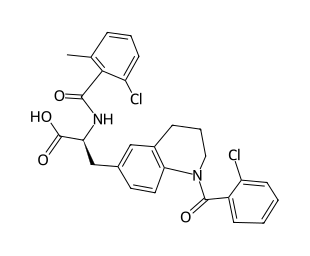 Cc1cccc(Cl)c1C(=O)N[C@@H](Cc1ccc2c(c1)CCCN2C(=O)c1ccccc1Cl)C(=O)O